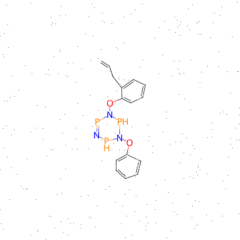 C=CCc1ccccc1On1pn[pH]n(Oc2ccccc2)[pH]1